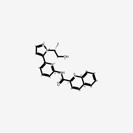 C[C@H](CO)n1nccc1-c1cccc(NC(=O)c2ccc3ccccc3n2)n1